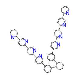 c1ccc(-c2ccc(-c3ccc(-c4ccc(-c5cccc(-c6ccccc6-c6cccc(-c7ccc(-c8ccc(-c9ccc(-c%10ccccn%10)cn9)cn8)nc7)c6)c5)cn4)nc3)nc2)nc1